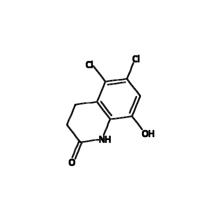 O=C1CCc2c(Cl)c(Cl)cc(O)c2N1